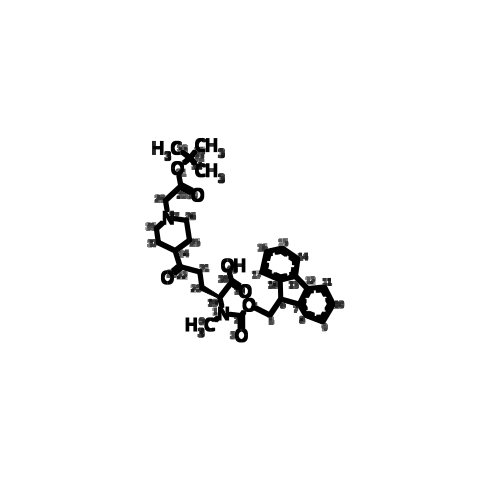 CN(C(=O)OCC1c2ccccc2-c2ccccc21)[C@@H](CCC(=O)C1CCN(CC(=O)OC(C)(C)C)CC1)C(=O)O